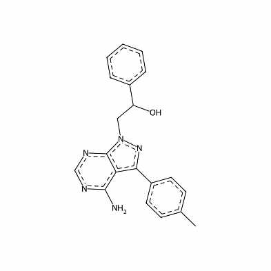 Cc1ccc(-c2nn(CC(O)c3ccccc3)c3ncnc(N)c23)cc1